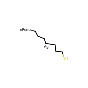 CCCCCCCCCCCCS.[Ag]